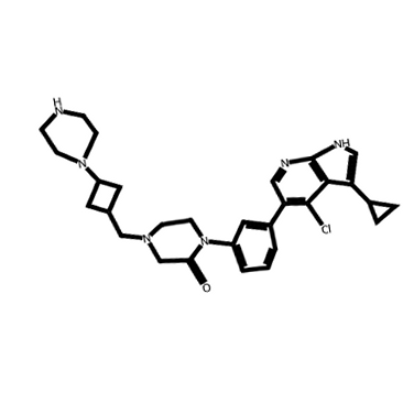 O=C1CN(CC2CC(N3CCNCC3)C2)CCN1c1cccc(-c2cnc3[nH]cc(C4CC4)c3c2Cl)c1